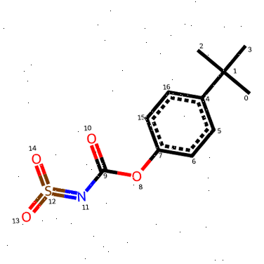 CC(C)(C)c1ccc(OC(=O)N=S(=O)=O)cc1